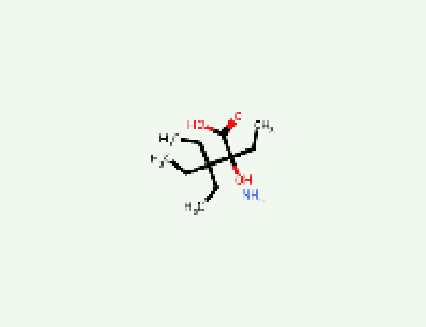 CCC(CC)(CC)C(O)(CC)C(=O)O.N